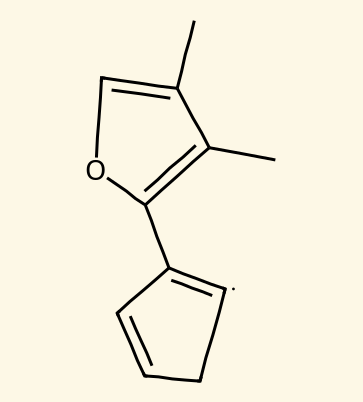 Cc1coc(C2=[C]CC=C2)c1C